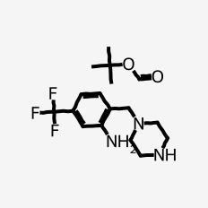 CC(C)(C)OC=O.Nc1cc(C(F)(F)F)ccc1CN1CCNCC1